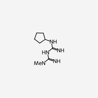 CNC(=N)NC(=N)NC1CCCC1